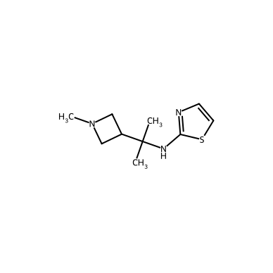 CN1CC(C(C)(C)Nc2nccs2)C1